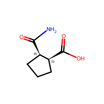 NC(=O)[C@@H]1CCC[C@@H]1C(=O)O